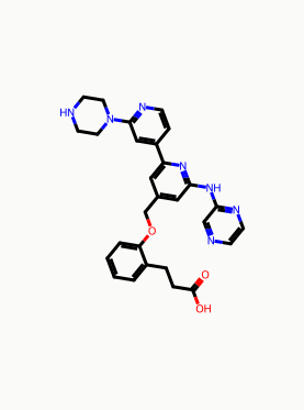 O=C(O)CCc1ccccc1OCc1cc(Nc2cnccn2)nc(-c2ccnc(N3CCNCC3)c2)c1